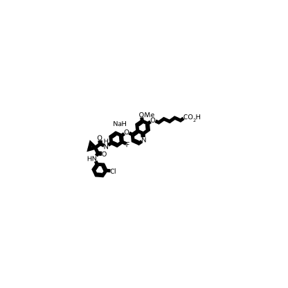 COc1cc2c(Oc3ccc(NC(=O)C4(C(=O)Nc5cccc(Cl)c5)CC4)cc3F)ccnc2cc1OCCCCCC(=O)O.[NaH]